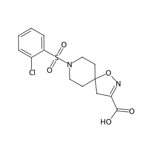 O=C(O)C1=NOC2(CCN(S(=O)(=O)c3ccccc3Cl)CC2)C1